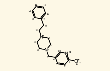 FC(F)(F)c1ccc(CN2CCN(CCc3ccccc3)CC2)cn1